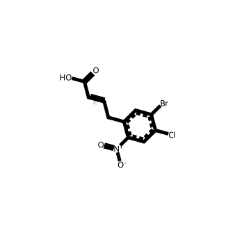 O=C(O)/C=C/Cc1cc(Br)c(Cl)cc1[N+](=O)[O-]